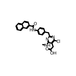 CNc1nc(Cc2ccc(NC(=O)c3ccc4ccccc4c3)cc2)nc(Cl)c1CC(=O)O